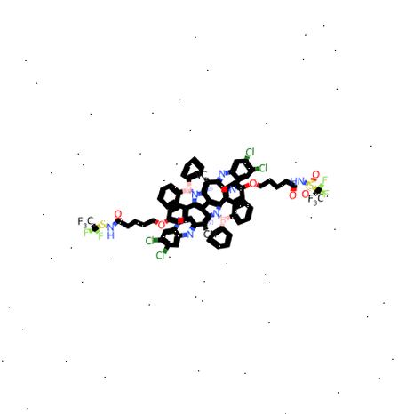 N#C/C(c1cnc2cc(Cl)c(Cl)cc2n1)=c1/c2c(-c3ccc(OCCCCC(=O)NS(=O)(=O)C(F)(F)C(F)(F)F)cc3)n(B(c3ccccc3)c3ccccc3)/c(=C(\C#N)c3cnc4cc(Cl)c(Cl)cc4n3)c2c(-c2ccc(OCCCCC(=O)NSC(F)(F)C(F)(F)F)cc2)n1B(c1ccccc1)c1ccccc1